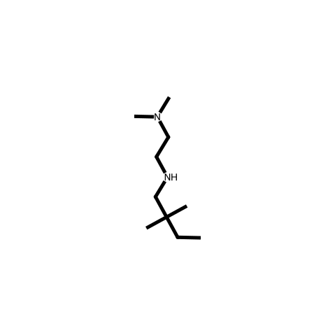 CCC(C)(C)CNCCN(C)C